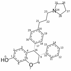 Oc1ccc2c(c1)OC[C@@H](c1ccccc1)[C@H]2c1ccc(CCCN2CCCC2)cc1